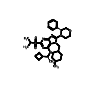 CC1CCC(Cn2c(N3CCOC[C@H]3c3ccccc3)nc3nc(S(=O)(=O)C(C)C)nc(N[C@H](C)C4CCC4)c32)CC1